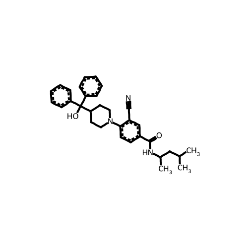 CC(C)CC(C)NC(=O)c1ccc(N2CCC(C(O)(c3ccccc3)c3ccccc3)CC2)c(C#N)c1